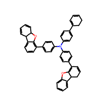 C1=CCCC(c2ccc(N(c3ccc(C4=C5Oc6ccccc6C5CC=C4)cc3)c3ccc(-c4cccc5c4OC4C=CC=CC54)cc3)cc2)=C1